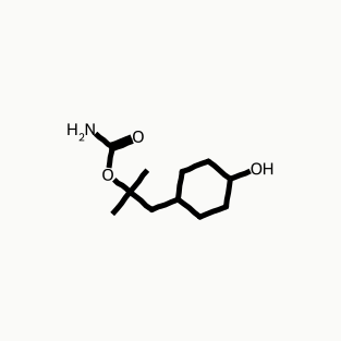 CC(C)(CC1CCC(O)CC1)OC(N)=O